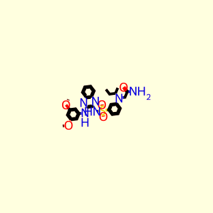 CCC(C)N(CC(N)=O)c1cccc(S(=O)(=O)Nc2nc3ccccc3nc2Nc2cc(OC)cc(OC)c2)c1